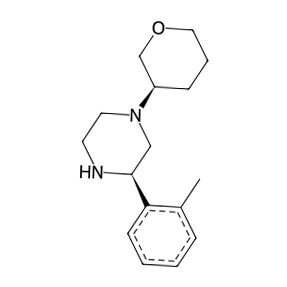 Cc1ccccc1[C@@H]1CN([C@@H]2CCCOC2)CCN1